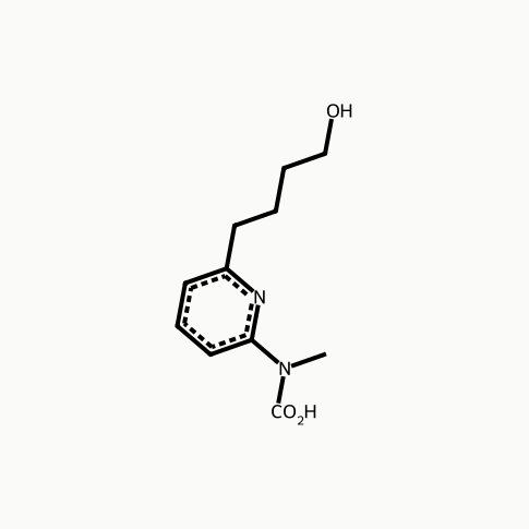 CN(C(=O)O)c1cccc(CCCCO)n1